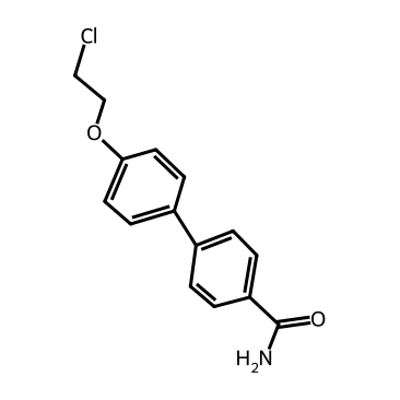 NC(=O)c1ccc(-c2ccc(OCCCl)cc2)cc1